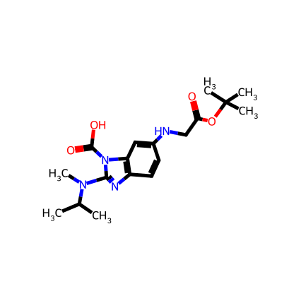 CC(C)N(C)c1nc2ccc(NCC(=O)OC(C)(C)C)cc2n1C(=O)O